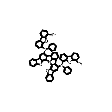 CC(C)c1cccc2c1oc1c(N(c3ccccc3)c3cc4c5ccccc5oc4c4c3c3cccc5c6c(N(c7ccccc7)c7cccc8c7oc7c(C(C)C)cccc78)cc7c8ccccc8oc7c6n4c35)cccc12